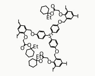 CCC1(OC(=O)COc2c(I)cc(I)cc2COc2ccc([S+](c3ccc(OCc4cc(I)cc(I)c4OCC(=O)OC4(CC)CCCCC4)cc3)c3ccc(OCc4cc(I)cc(I)c4OCC(=O)OC4(CC)CCCCC4)cc3)cc2)CCCCC1